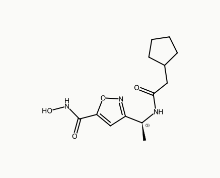 C[C@H](NC(=O)CC1CCCC1)c1cc(C(=O)NO)on1